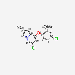 COc1cc(Cl)ccc1Oc1cc(Cl)cn2cc(C#N)cc12